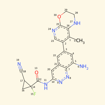 Cc1c(-c2cc(N)c3nnc(NC(=O)C4(F)CC4C#N)cc3c2)cnc2c1NCCO2